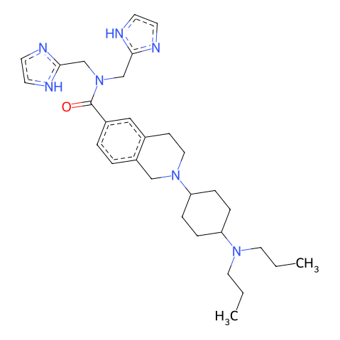 CCCN(CCC)C1CCC(N2CCc3cc(C(=O)N(Cc4ncc[nH]4)Cc4ncc[nH]4)ccc3C2)CC1